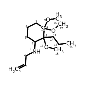 C=CCNC1CCC[Si](OC)(OC)C1(CCC)OC